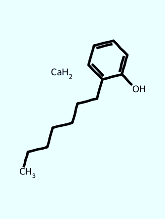 CCCCCCCc1ccccc1O.[CaH2]